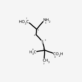 CC(C)(SCC(N)C(=O)O)C(=O)O